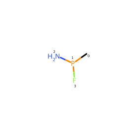 CP(N)F